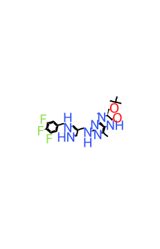 Cc1nc(NC/C(C=N)=C/NCc2cc(F)c(F)c(F)c2)nc2c1NC(=O)[C@H](COC(C)(C)C)N2C